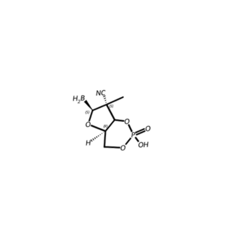 B[C@@H]1O[C@@H]2COP(=O)(O)OC2[C@@]1(C)C#N